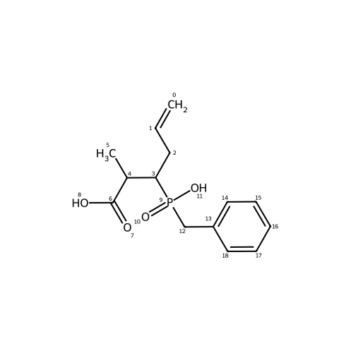 C=CCC(C(C)C(=O)O)P(=O)(O)Cc1ccccc1